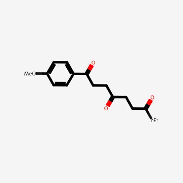 CCCC(=O)CCC(=O)CCC(=O)c1ccc(OC)cc1